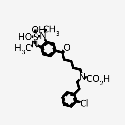 CN1c2ccc(C(=O)CCCCN(CCc3ccccc3Cl)C(=O)O)cc2N(C)S1(O)O